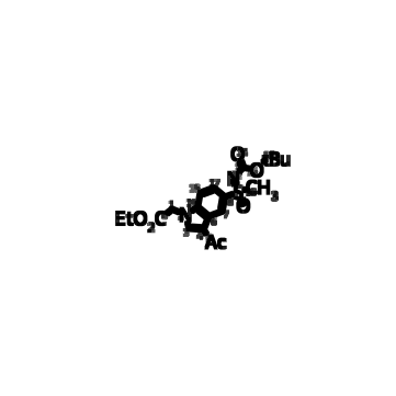 CCOC(=O)Cn1cc(C(C)=O)c2cc(S(C)(=O)=NC(=O)OC(C)(C)C)ccc21